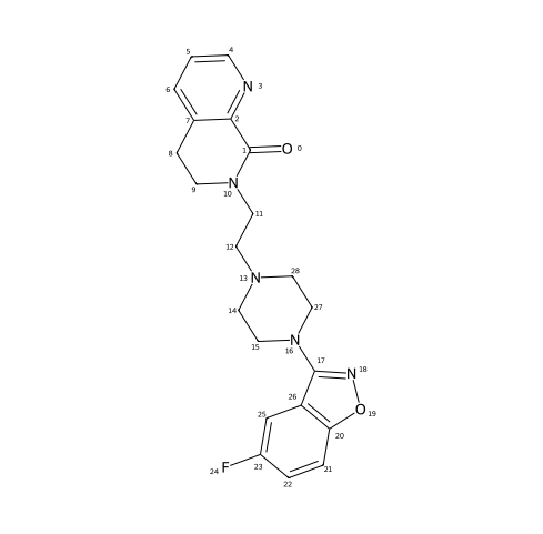 O=C1c2ncccc2CCN1CCN1CCN(c2noc3ccc(F)cc23)CC1